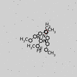 Cc1cccc(-c2ccc3c4ccc(-c5cccc(C)c5)cc4n(-c4cc(-c5cc(C)cc(C(F)(F)F)c5)cc(-n5c6cc(-c7cccc(C)c7)ccc6c6ccc(-c7cccc(C)c7)cc65)c4C#N)c3c2)c1